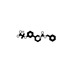 CC(C)(Oc1cccc(C2CCCN(C(=O)OCc3ccccc3)C2)c1)C(=O)O